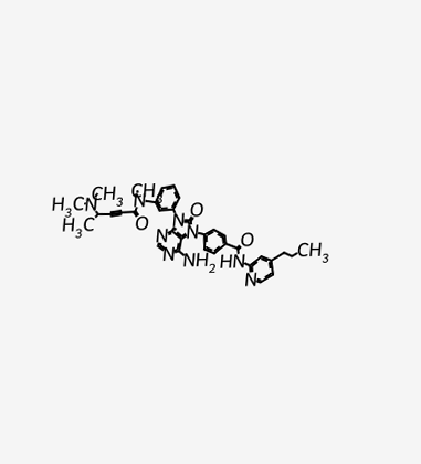 CCCc1ccnc(NC(=O)c2ccc(-n3c(=O)n(-c4cccc(N(C)C(=O)C#CC(C)N(C)C)c4)c4ncnc(N)c43)cc2)c1